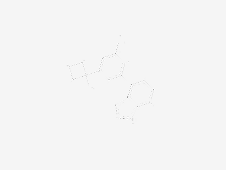 N#CC1(c2cc(-c3ccnc4[nH]ncc34)cc(C(F)(F)F)c2)CCC1